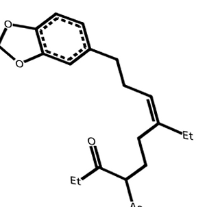 CCC(=O)C(CCC(=CCCc1ccc2c(c1)OCO2)CC)C(C)=O